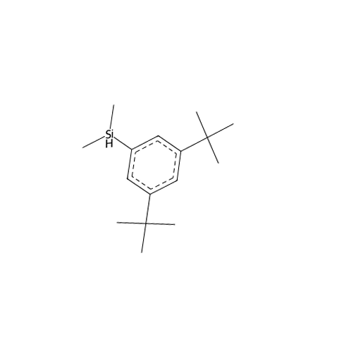 C[SiH](C)c1cc(C(C)(C)C)cc(C(C)(C)C)c1